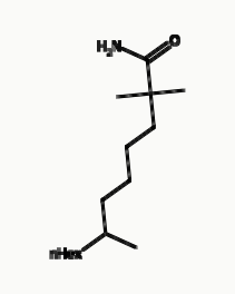 CCCCCCC(C)CCCCC(C)(C)C(N)=O